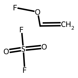 C=COF.O=S(=O)(F)F